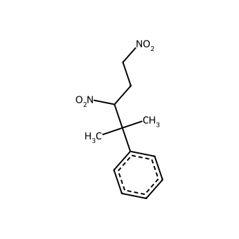 CC(C)(c1ccccc1)C(CC[N+](=O)[O-])[N+](=O)[O-]